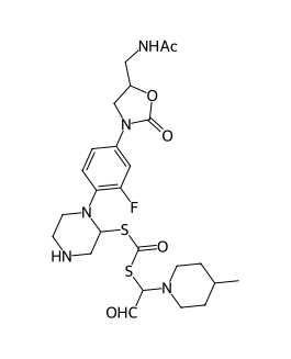 CC(=O)NCC1CN(c2ccc(N3CCNCC3SC(=O)SC(C=O)N3CCC(C)CC3)c(F)c2)C(=O)O1